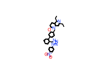 CCc1cc2c(ccc(=O)n2Cc2ccc(-c3ccccc3-c3nnnn3-c3ccc([N+](=O)[O-])cc3)cc2)c(CC)n1